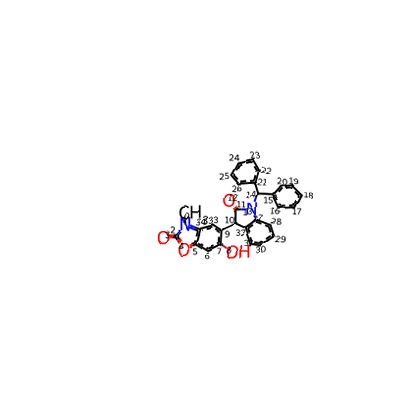 Cn1c(=O)oc2cc(O)c(C3C(=O)N(C(c4ccccc4)c4ccccc4)c4ccccc43)cc21